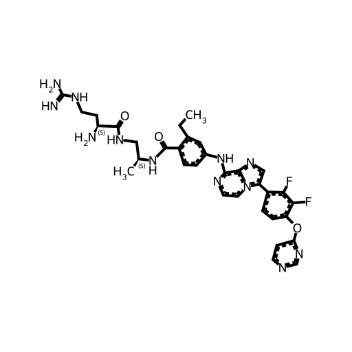 CCc1cc(Nc2nccn3c(-c4ccc(Oc5ccncn5)c(F)c4F)cnc23)ccc1C(=O)N[C@@H](C)CNC(=O)[C@@H](N)CCNC(=N)N